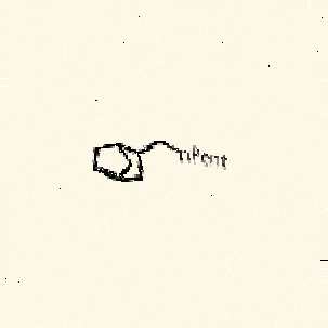 CCCCCCC1CC2=CCC1C2